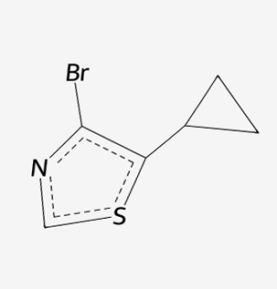 Brc1ncsc1C1CC1